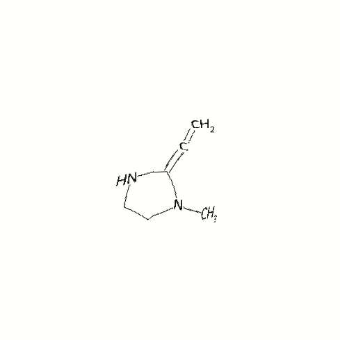 C=C=C1NCCN1C